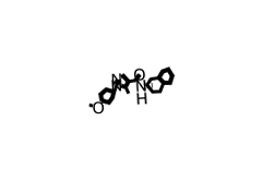 COc1ccc(-n2ncc(C(=O)N[C@H]3CCc4ccccc4C3)c2C)cc1